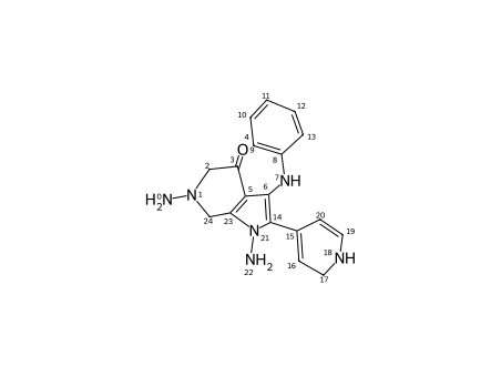 NN1CC(=O)c2c(Nc3ccccc3)c(C3=CCNC=C3)n(N)c2C1